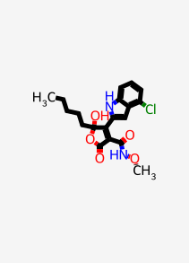 CCCCCC1(O)OC(=O)C(C(=O)NOC)=C1c1cc2c(Cl)cccc2[nH]1